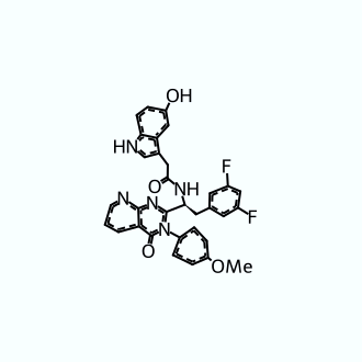 COc1ccc(-n2c([C@H](Cc3cc(F)cc(F)c3)NC(=O)Cc3c[nH]c4ccc(O)cc34)nc3ncccc3c2=O)cc1